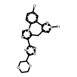 CCn1cc2c(n1)-c1cc(Cl)ccc1-n1cnc(-c3noc(C4COCCO4)n3)c1C2